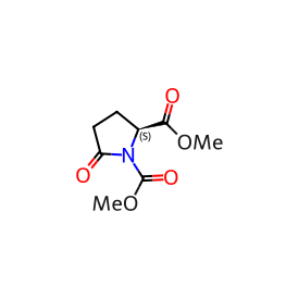 COC(=O)[C@@H]1CCC(=O)N1C(=O)OC